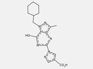 Cc1nn(CC2CCCCC2)c2c(O)nc(-n3cc(C(=O)O)cn3)nc12